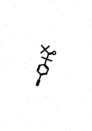 C#Cc1ccc(C(C)(C)C(=O)C(C)(C)C)cc1